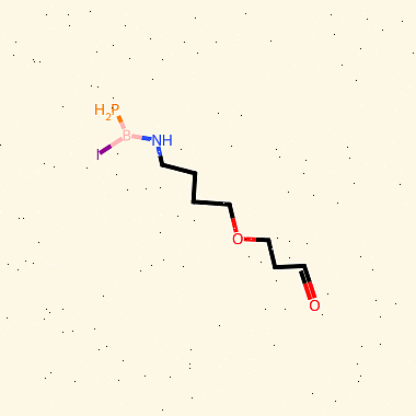 O=CCCOCCCCNB(P)I